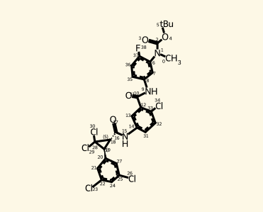 CN(C(=O)OC(C)(C)C)c1cc(NC(=O)c2cc(NC(=O)[C@@H]3[C@@H](c4cc(Cl)cc(Cl)c4)C3(Cl)Cl)ccc2Cl)ccc1F